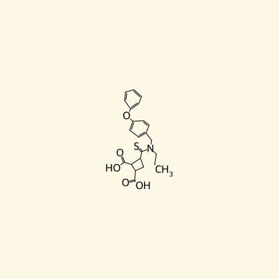 CCCN(Cc1ccc(Oc2ccccc2)cc1)C(=S)C1CC(C(=O)O)C1C(=O)O